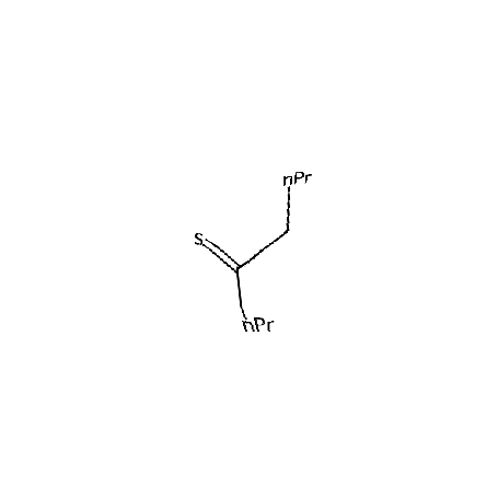 CCCCC(=S)CCC